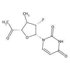 CC(=O)[C@H]1O[C@@H](n2ccc(=O)[nH]c2=O)[C@@H](F)C1C